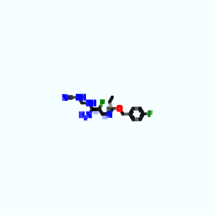 CC[C@@H](/N=C\C(F)=C(/N)NCNC#N)OCc1ccc(F)cc1